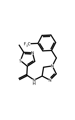 C=C(NC1CN(Cc2cccc(C(F)(F)F)c2)C=N1)c1cnc(C)s1